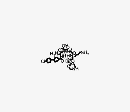 C[C@H](NC(=O)[C@H](CCCCN)NC(=O)[C@H](C)NC(=O)[C@@H](NC(=O)[C@H](CN)NC(=O)c1ccc(-c2ccc(Cl)cc2)cc1)[C@@H](C)O)B1OCCNCCO1